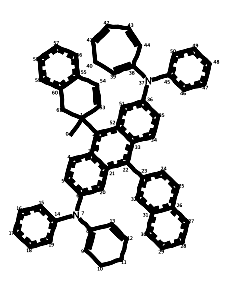 CC1(c2c3ccc(N(C4=CCCC=C4)c4ccccc4)cc3c(-c3ccc4ccccc4c3)c3ccc(N(C4=CCC=CC=C4)c4ccccc4)cc23)C=Cc2ccccc2C1